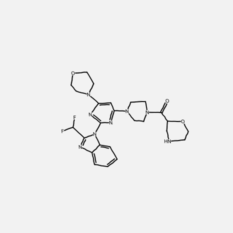 O=C(C1CNCCO1)N1CCN(c2cc(N3CCOCC3)nc(-n3c(C(F)F)nc4ccccc43)n2)CC1